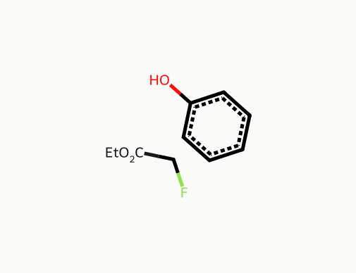 CCOC(=O)CF.Oc1ccccc1